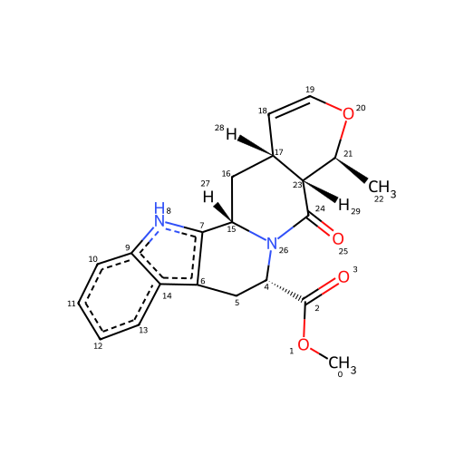 COC(=O)[C@@H]1Cc2c([nH]c3ccccc23)[C@@H]2C[C@@H]3C=CO[C@@H](C)[C@@H]3C(=O)N12